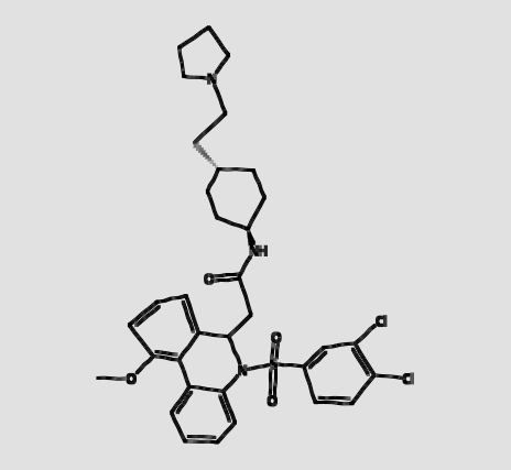 COc1cccc2c1-c1ccccc1N(S(=O)(=O)c1ccc(Cl)c(Cl)c1)C2CC(=O)N[C@H]1CC[C@H](CCN2CCCC2)CC1